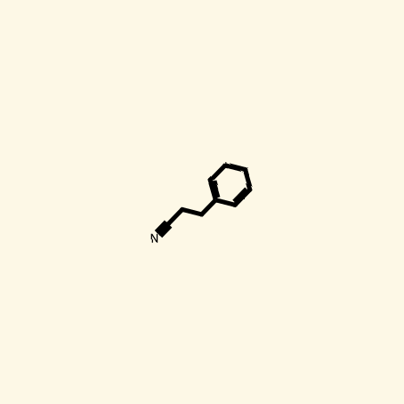 N#CCCC1=C[CH]CC=C1